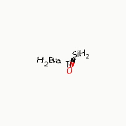 O=[SiH2].[BaH2].[Ti]